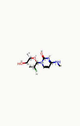 CNc1ccn([C@H](O[C@@H](C)CO)[C@H](C)F)c(=O)n1